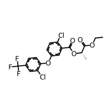 CCOC(=O)[C@H](C)OC(=O)c1cc(Oc2ccc(C(F)(F)F)cc2Cl)ccc1Cl